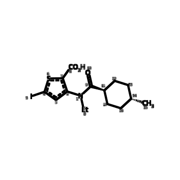 CCN(c1cc(I)sc1C(=O)O)C(=O)[C@H]1CC[C@H](C)CC1